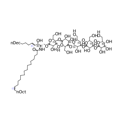 CCCCCCCC/C=C\CCCCCCCCCCCCCC(=O)N[C@@H](CO[C@@H]1OC(CO)[C@@H](O[C@@H]2OC(CO)[C@H](O[C@@H]3OC(CO)[C@H](O)[C@H](O[C@H]4OC(CO)[C@H](O)[C@H](O[C@H]5OC(CO)[C@H](O)[C@H](O)C5O)C4O)C3O)[C@H](O)C2O)[C@H](O)C1O)[C@H](O)/C=C/CCCCCCCCCCCCC